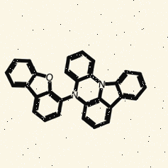 c1ccc2c(c1)N(c1cccc3c1oc1ccccc13)c1cccc3c4ccccc4n-2c13